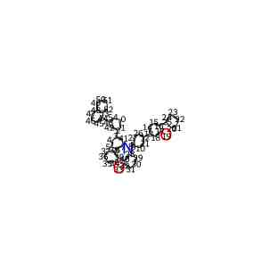 c1cc(-c2cccc(N(c3ccc(-c4ccc5c(c4)oc4ccccc45)cc3)c3cccc4oc5ccccc5c34)c2)cc(-c2cccc3ccccc23)c1